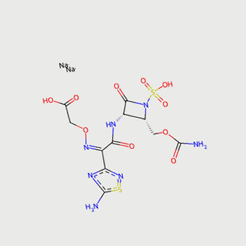 NC(=O)OC[C@@H]1[C@H](NC(=O)C(=NOCC(=O)O)c2nsc(N)n2)C(=O)N1S(=O)(=O)O.[Na].[Na]